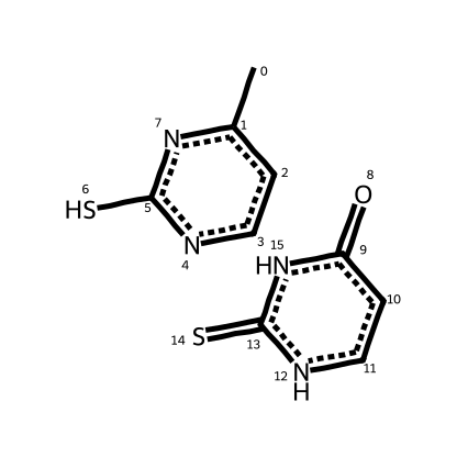 Cc1ccnc(S)n1.O=c1cc[nH]c(=S)[nH]1